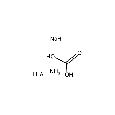 N.O=C(O)O.[AlH3].[NaH]